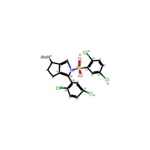 CNC1CCc2c1cn(S(=O)(=O)c1cc(Cl)ccc1Cl)c2-c1cc(Cl)ccc1Cl